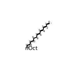 [CH]=CC=CC=CC=CCCCCCCCCCCCCCC